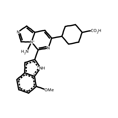 COc1cccc2cc(C3=NC(C4CCC(C(=O)O)CC4)=CC4=CN=C[N+]43N)[nH]c12